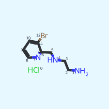 Cl.NCCNCc1ncccc1Br